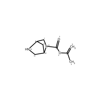 C=C(C)OC(=O)N1CC2CC1CN2